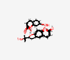 CC(C)(O)C1Cc2cc3ccc(=O)oc3cc2O1.O=c1ccc2ccc(O)cc2o1